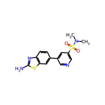 CN(C)S(=O)(=O)c1cncc(-c2ccc3nc(N)sc3c2)c1